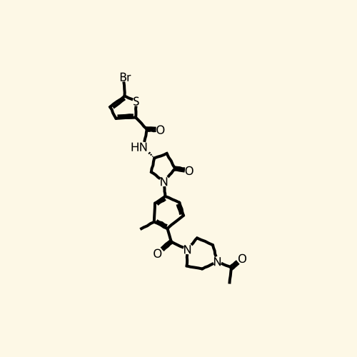 CC(=O)N1CCN(C(=O)c2ccc(N3C[C@H](NC(=O)c4ccc(Br)s4)CC3=O)cc2C)CC1